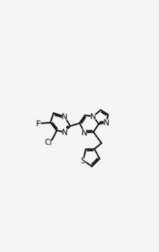 Fc1cnc(-c2cn3ccnc3c(Cc3ccsc3)n2)nc1Cl